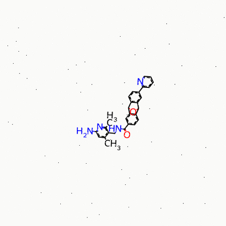 Cc1cc(N)nc(C)c1CNC(=O)c1ccc2c(c1)C1OC2c2cc(-c3ccccn3)ccc21